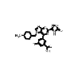 CC1CCC(Cn2cnc3nc(-c4noc(=O)[nH]4)nc(-c4cc(Cl)cc(C(N)=O)c4)c32)CC1